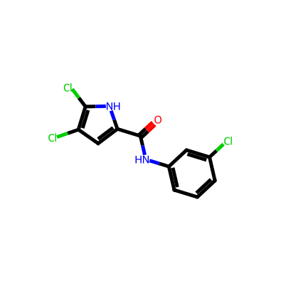 O=C(Nc1cccc(Cl)c1)c1cc(Cl)c(Cl)[nH]1